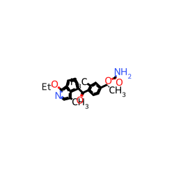 CCOc1ncc(C)c2c(C(=O)c3ccc([C@@H](C)OC(N)=O)cc3C)cccc12